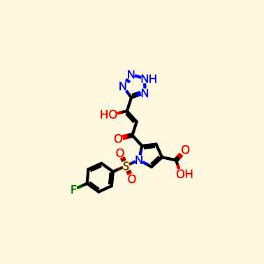 O=C(O)c1cc(C(=O)C=C(O)c2nn[nH]n2)n(S(=O)(=O)c2ccc(F)cc2)c1